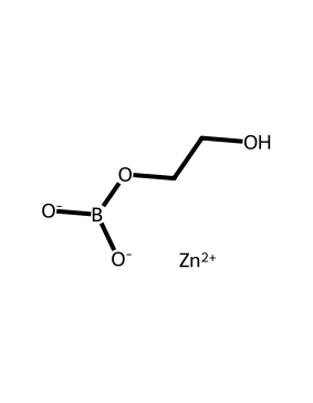 [O-]B([O-])OCCO.[Zn+2]